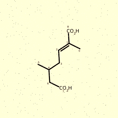 CC(=CCC(C)CC(=O)O)C(=O)O